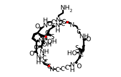 NCCN1CCNC(=O)c2ccc(n(O)c2=S)C(=O)NCCCN2CCCNC(=O)c3ccc(c(=S)n3O)C(=O)NCCN(CCNC(=O)c3ccc(n(O)c3=S)C(=O)NCCC2)CC1